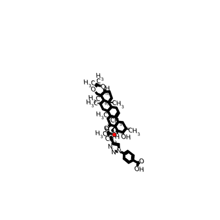 C[C@@H]1CC2C3=CCC4[C@@]5(C)CC[C@@H]6OC(C)(C)OC[C@]6(C)C5[C@@H](C)C[C@@]4(C)[C@]3(C)C[C@H]3OC(C)(C)O[C@@H]([C@@H]1O)[C@@]23COCc1cn(-c2ccc(C(=O)O)cc2)nn1